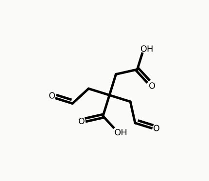 O=CCC(CC=O)(CC(=O)O)C(=O)O